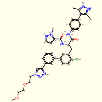 COCCOCCn1cc(-c2cccc(-c3ccc(Cl)c(CC(NC(=O)c4ccnn4C)C(=O)Nc4ccc(-c5c(C)n[nH]c5C)cc4)c3)c2)nn1